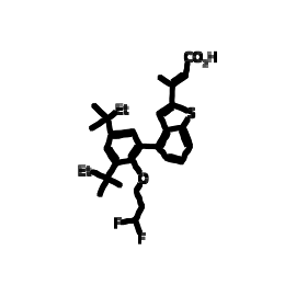 CCC(C)(C)c1cc(-c2cccc3sc(/C(C)=C/C(=O)O)cc23)c(OCCC(F)F)c(C(C)(C)CC)c1